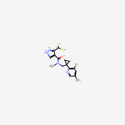 CN(CC1(c2ncc(C(F)(F)F)cc2Cl)CC1)C(=O)c1c[nH]nc1C(F)F